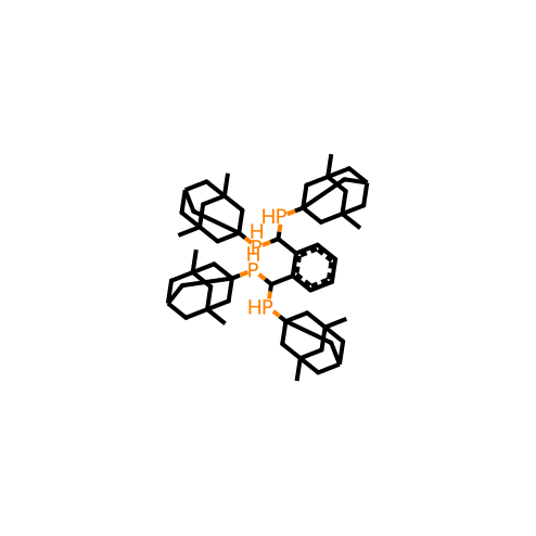 CC12CC3CC(C)(C1)CC(PC(PC14CC5CC(C)(CC(C)(C5)C1)C4)c1ccccc1C(PC14CC5CC(C)(CC(C)(C5)C1)C4)PC14CC5CC(C)(CC(C)(C5)C1)C4)(C3)C2